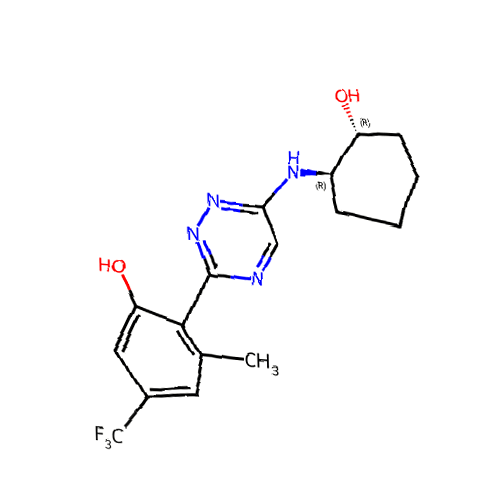 Cc1cc(C(F)(F)F)cc(O)c1-c1ncc(N[C@@H]2CCCC[C@H]2O)nn1